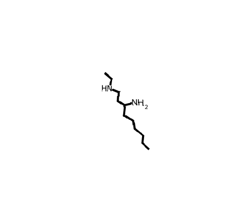 CCCCCCC(N)CCNCC